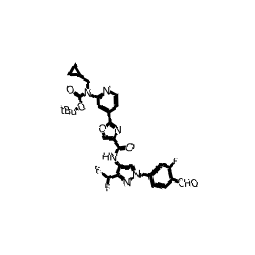 CC(C)(C)OC(=O)N(CC1CC1)c1cc(-c2nc(C(=O)Nc3cn(-c4ccc(C=O)c(F)c4)nc3C(F)F)co2)ccn1